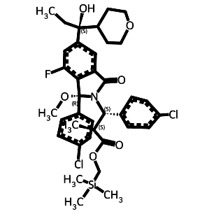 CC[C@@](O)(c1cc(F)c2c(c1)C(=O)N([C@H](c1ccc(Cl)cc1)[C@H](C)C(=O)OC[Si](C)(C)C)[C@@]2(OC)c1ccc(Cl)cc1)C1CCOCC1